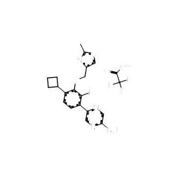 Cc1nc(COc2c(C3CCC3)ccc(-c3cnc(N)cn3)c2F)cs1.O=C(O)C(F)(F)F